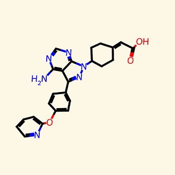 Nc1ncnc2c1c(-c1ccc(Oc3ccccn3)cc1)nn2C1CCC(=CC(=O)O)CC1